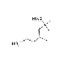 CC(CCC(=O)O)CC(C)(C)C(=O)O